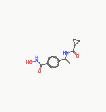 CC(NC(=O)C1CC1)c1ccc(C(=O)NO)cc1